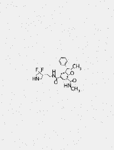 CNC(=O)c1cc(C(=O)NCC[C@@H]2CNCC2(F)F)cc2c1O[C@H](C)[C@H]2c1ccccc1